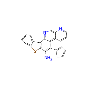 Nc1c(C2=CC=CC2)c2c3cccnc3cnc2c2c1sc1ccccc12